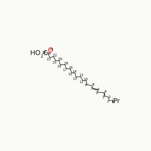 CC(C)CCC=CCC=CCCCCCCCCCCCCCCCCC(=O)C(=O)O